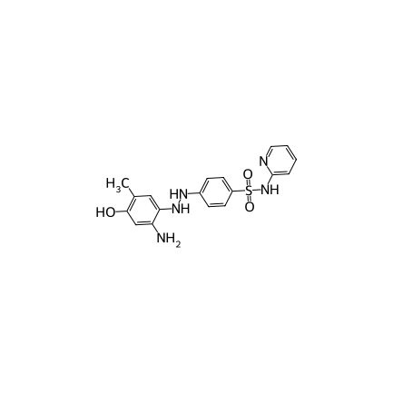 Cc1cc(NNc2ccc(S(=O)(=O)Nc3ccccn3)cc2)c(N)cc1O